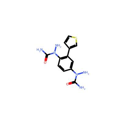 NC(=O)N(N)c1ccc(N(N)C(N)=O)c(-c2ccsc2)c1